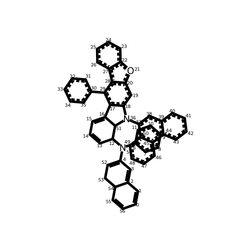 C1=CC2=CC(N(c3ccccc3)C3C=CC=C4c5c(cc6oc7ccccc7c6c5-c5ccccc5)N(c5cc6ccccc6c6ccccc56)C43)=CCC2C=C1